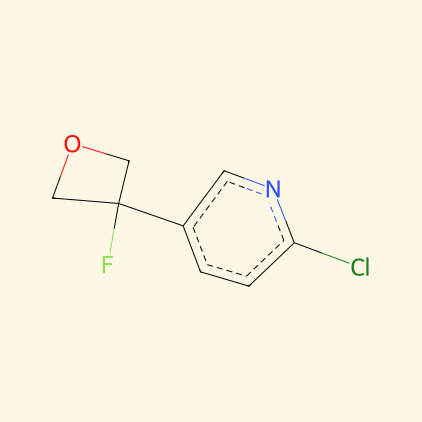 FC1(c2ccc(Cl)nc2)COC1